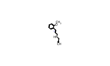 C#CCNC/C=C/c1ccccc1OC